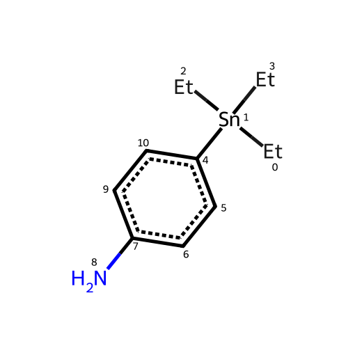 C[CH2][Sn]([CH2]C)([CH2]C)[c]1ccc(N)cc1